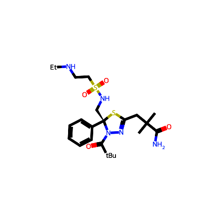 CCNCCS(=O)(=O)NC[C@@]1(c2ccccc2)SC(CC(C)(C)C(N)=O)=NN1C(=O)C(C)(C)C